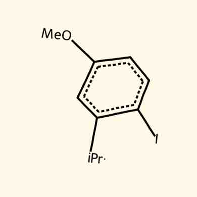 COc1ccc(I)c([C](C)C)c1